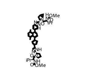 COC(=O)N[C@H](C(=O)N1CCC[C@H]1c1ncc(-c2ccc(-c3ccc(-c4ccc5nc([C@@H]6CC7CC7N6C(=O)[C@@H](NC(=O)OC)C(C)C)[nH]c5c4)c4c(C)ccc(C)c34)cc2)[nH]1)C(C)C